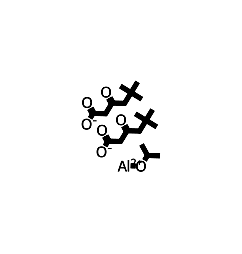 CC(C)(C)CC(=O)CC(=O)[O-].CC(C)(C)CC(=O)CC(=O)[O-].CC(C)[O][Al+2]